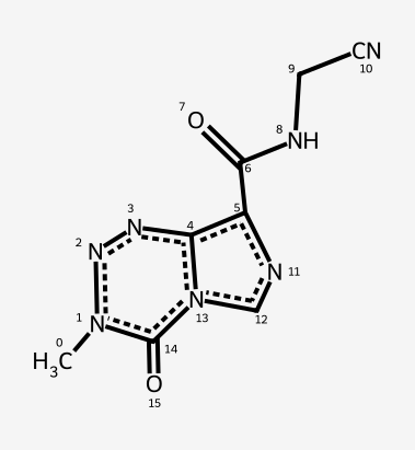 Cn1nnc2c(C(=O)NCC#N)ncn2c1=O